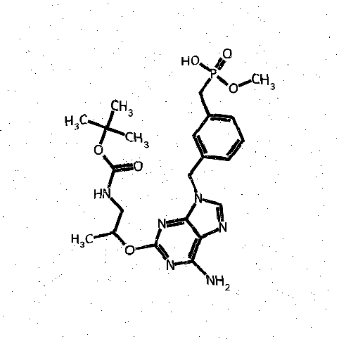 COP(=O)(O)Cc1cccc(Cn2cnc3c(N)nc(OC(C)CNC(=O)OC(C)(C)C)nc32)c1